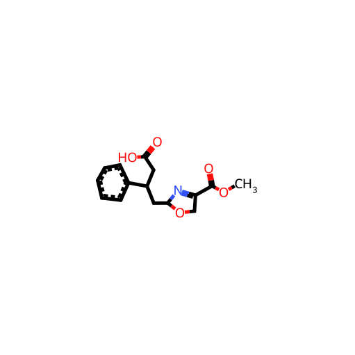 COC(=O)C1=NC(CC(CC(=O)O)c2ccccc2)OC1